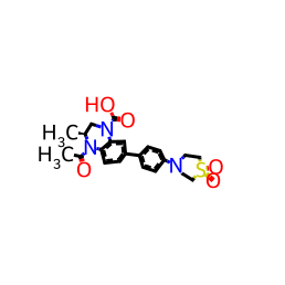 CC(=O)N1c2ccc(-c3ccc(N4CCS(=O)(=O)CC4)cc3)cc2N(C(=O)O)C[C@@H]1C